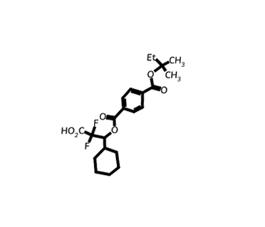 CCC(C)(C)OC(=O)c1ccc(C(=O)OC(C2CCCCC2)C(F)(F)C(=O)O)cc1